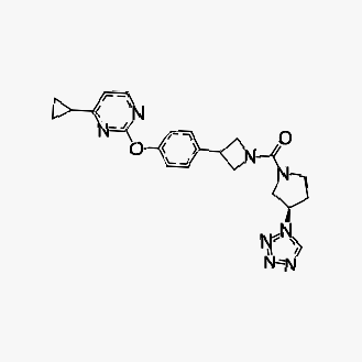 O=C(N1CC(c2ccc(Oc3nccc(C4CC4)n3)cc2)C1)N1CC[C@@H](n2cnnn2)C1